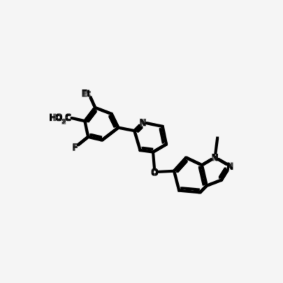 CCc1cc(-c2cc(Oc3ccc4cnn(C)c4c3)ccn2)cc(F)c1C(=O)O